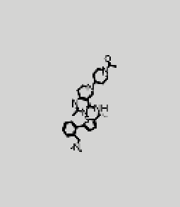 CC(=O)N1CCC(N2CCc3nc(C)nc(N[C@H](C)c4ccc(-c5ccccc5CN(C)C)s4)c3C2)CC1